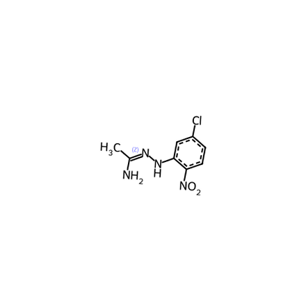 C/C(N)=N/Nc1cc(Cl)ccc1[N+](=O)[O-]